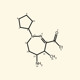 CCC(=O)C1=NN(C2CCCC2)CCC(N)C1C